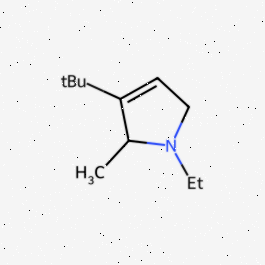 CCN1CC=C(C(C)(C)C)C1C